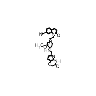 CO[C@@H]1CN(CCn2c(=O)ccc3ccc(C#N)cc32)CC[C@@H]1NCc1ccc2c(n1)NC(=O)CO2